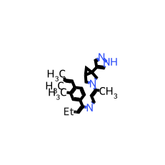 CC/C=C(/N=C\C=C(/C)N1CC2CC2(c2cn[nH]c2)C1)c1ccc(C=C(C)C)c(C)c1